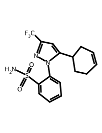 NS(=O)(=O)c1ccccc1-n1nc(C(F)(F)F)cc1C1CC=CCC1